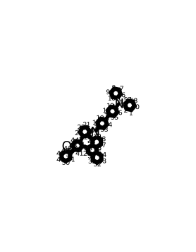 c1ccc(N(c2ccccc2)c2ccc(-c3ccc(-n4c5cccc6c5c5c7c(cc8ccccc8c7ccc54)-c4cc5c(cc4-6)oc4ccccc45)cc3)cc2)cc1